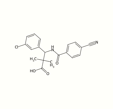 CC(C)(C(=O)O)C(NC(=O)c1ccc(C#N)cc1)c1cccc(Cl)c1